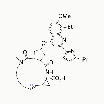 CCc1c(OC)ccc2c(OC3CC4C(=O)NC5(C(=O)O)CC5/C=C/CCCCN(C)C(=O)C4C3)cc(-c3nc(C(C)C)cs3)nc12